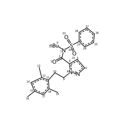 CCCCN(C(=O)c1ccnn1CCc1c(C)cc(C)cc1C)S(=O)(=O)c1ccccc1